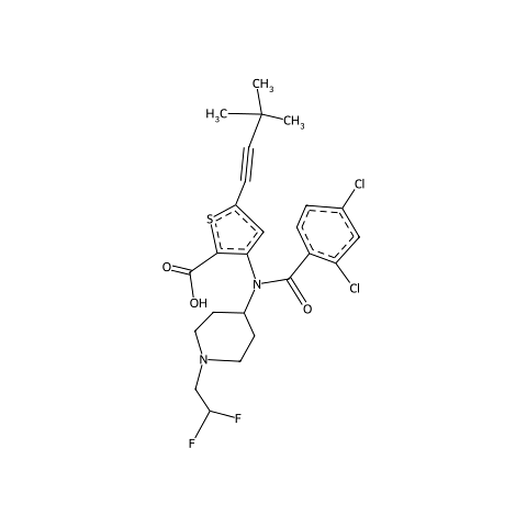 CC(C)(C)C#Cc1cc(N(C(=O)c2ccc(Cl)cc2Cl)C2CCN(CC(F)F)CC2)c(C(=O)O)s1